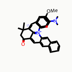 COc1ccc(-[n+]2c3c(cc4cc5ccccc5cc42)C(=O)CC(C)(C)/C3=C/c2ccc(N(C)C)cc2)cc1